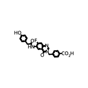 O=C(Cc1ccc(O)cc1)Nc1cc2c(=O)n(Cc3ccc(C(=O)O)cc3)cnc2cc1F